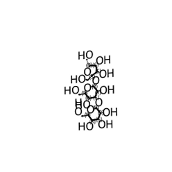 OC[C@H]1O[C@H](O[C@@H]2[C@@H](O)[C@@H](O[C@]3(CO)O[C@H](CO)[C@@H](O)[C@@H]3O)O[C@H](CO)[C@H]2O)[C@H](O)[C@@H](O)[C@H]1O